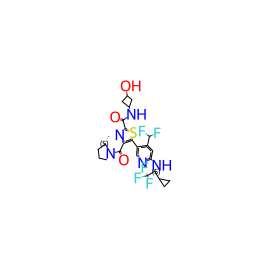 C[C@H]1CCCN1C(=O)c1nc(C(=O)NC2CC(O)C2)sc1-c1cnc(N[C@@H](C2CC2)C(F)(F)F)cc1C(F)F